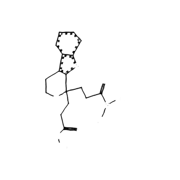 COC(=O)CCC1(CCC(=O)N(C)C)OCCc2c1[nH]c1ccccc21